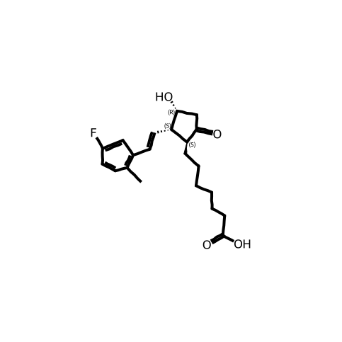 Cc1ccc(F)cc1C=C[C@@H]1[C@H](O)CC(=O)[C@H]1CCCCCCC(=O)O